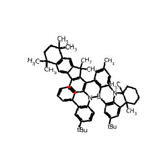 Cc1cc2c3c(c1)N1c4c(cc(C(C)(C)C)cc4C4(C)CCCCC14C)B3N(c1ccc(C(C)(C)C)cc1-c1ccccc1)c1ccc3c(c1-2)C(C)(C)c1cc2c(cc1-3)C(C)(C)CCC2(C)C